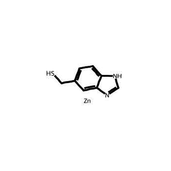 SCc1ccc2[nH]cnc2c1.[Zn]